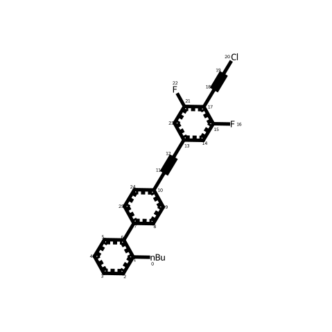 CCCCc1ccccc1-c1ccc(C#Cc2cc(F)c(C#CCl)c(F)c2)cc1